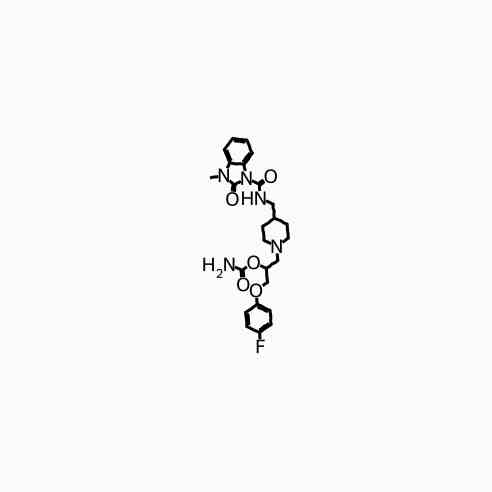 Cn1c(=O)n(C(=O)NCC2CCN(CC(COc3ccc(F)cc3)OC(N)=O)CC2)c2ccccc21